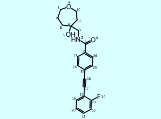 O=C(NCC1(O)CCCOCC1)c1ccc(C#Cc2ccccc2F)cc1